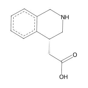 O=C(O)C[C@H]1CNCc2ccccc21